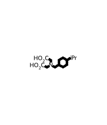 CC(C)C1CCC(CN(CC(=O)O)CC(=O)O)CC1